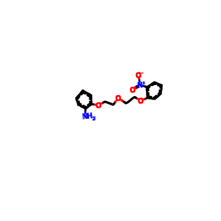 Nc1ccccc1OCCOCCOc1ccccc1[N+](=O)[O-]